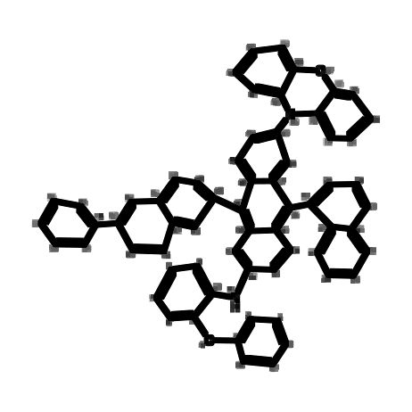 c1ccc(Oc2ccccc2Nc2ccc3c(-c4cccc5ccccc45)c4cc(N5c6ccccc6Oc6ccccc65)ccc4c(-c4ccc5cc(-c6ccccc6)ccc5c4)c3c2)cc1